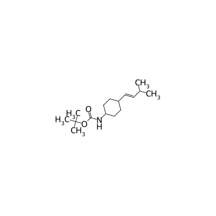 CC(C)C=CC1CCC(NC(=O)OC(C)(C)C)CC1